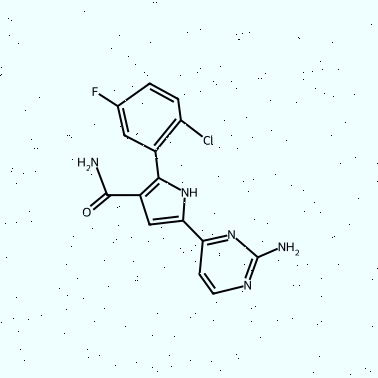 NC(=O)c1cc(-c2ccnc(N)n2)[nH]c1-c1cc(F)ccc1Cl